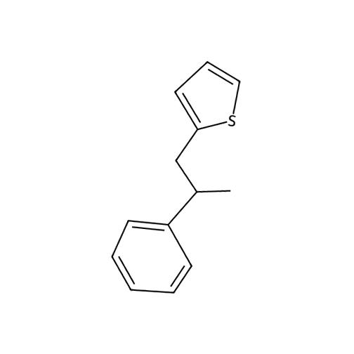 CC(Cc1cccs1)c1ccccc1